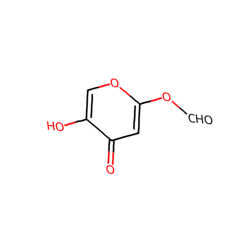 O=COc1cc(=O)c(O)co1